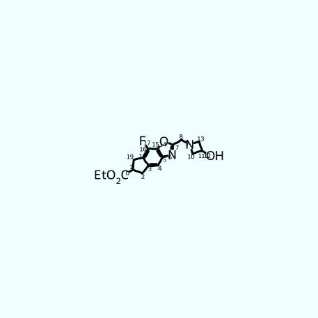 CCOC(=O)C1Cc2cc3nc(CN4CC(O)C4)oc3c(F)c2C1